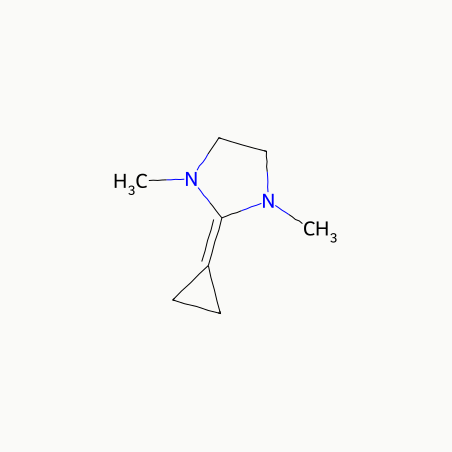 CN1CCN(C)C1=C1CC1